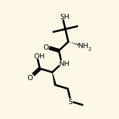 CSCC[C@H](NC(=O)[C@@H](N)C(C)(C)S)C(=O)O